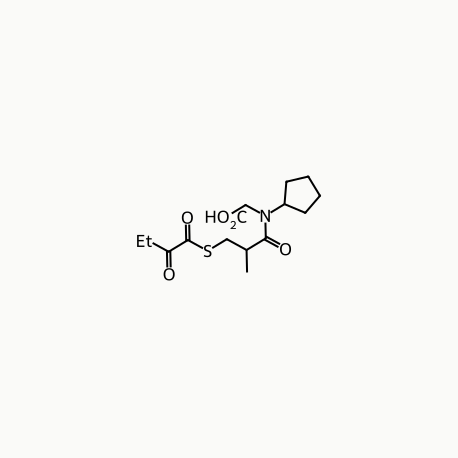 CCC(=O)C(=O)SCC(C)C(=O)N(CC(=O)O)C1CCCC1